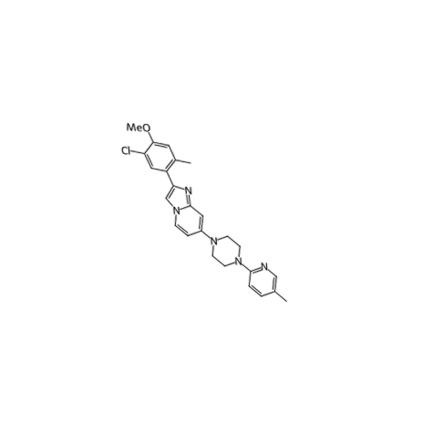 COc1cc(C)c(-c2cn3ccc(N4CCN(c5ccc(C)cn5)CC4)cc3n2)cc1Cl